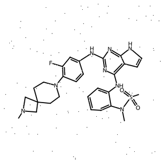 CN1CC2(CCN(c3ccc(Nc4nc(Nc5ccccc5N(C)S(C)(=O)=O)c5cc[nH]c5n4)cc3F)CC2)C1